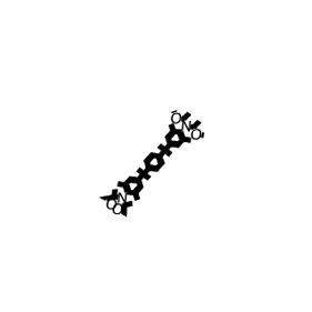 COC(C)N(c1c(C)cc(C(C)(C)c2ccc(C(C)(C)c3cc(C)c(N(C4(C)CO4)C4(C)CO4)c(C)c3)cc2)cc1C)C(C)OC